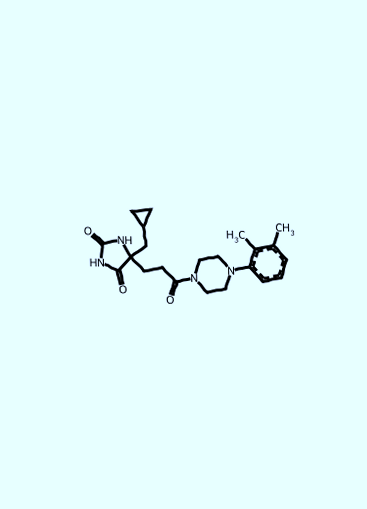 Cc1cccc(N2CCN(C(=O)CCC3(CC4CC4)NC(=O)NC3=O)CC2)c1C